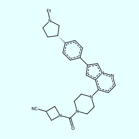 CCN1CC[C@@H](c2ccc(-c3cc4c(N5CCN(C(=O)N6CC(C#N)C6)CC5)ccnn4c3)cc2)C1